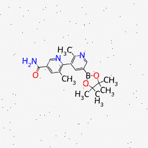 Cc1cc(C(N)=O)cnc1-c1cc(B2OC(C)(C)C(C)(C)O2)cnc1C